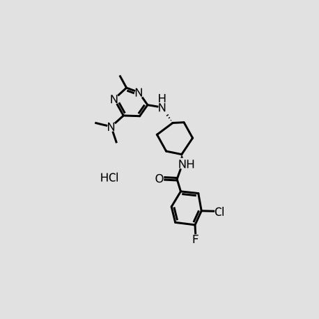 Cc1nc(N[C@H]2CC[C@@H](NC(=O)c3ccc(F)c(Cl)c3)CC2)cc(N(C)C)n1.Cl